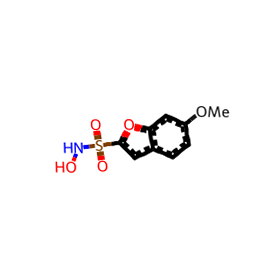 COc1ccc2cc(S(=O)(=O)NO)oc2c1